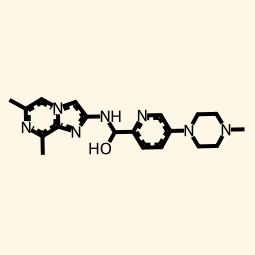 Cc1cn2cc(NC(O)c3ccc(N4CCN(C)CC4)cn3)nc2c(C)n1